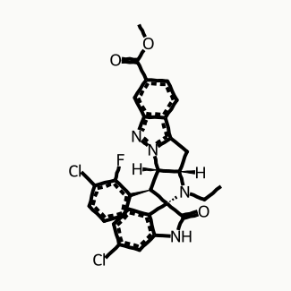 CCN1[C@H]2Cc3c4ccc(C(=O)OC)cc4nn3[C@H]2[C@H](c2cccc(Cl)c2F)[C@]12C(=O)Nc1cc(Cl)ccc12